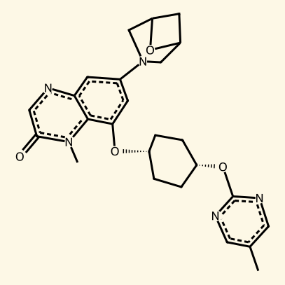 Cc1cnc(O[C@H]2CC[C@@H](Oc3cc(N4CC5CC(C4)O5)cc4ncc(=O)n(C)c34)CC2)nc1